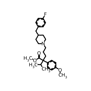 COC(=O)C(CCCN1CCC(Cc2ccc(F)cc2)CC1)(c1ccc(OC)cc1)C(C)C